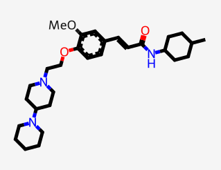 COc1cc(C=CC(=O)NC2CCC(C)CC2)ccc1OCCN1CCC(N2CCCCC2)CC1